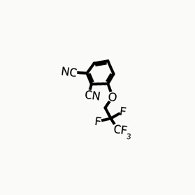 N#Cc1cccc(OCC(F)(F)C(F)(F)F)c1C#N